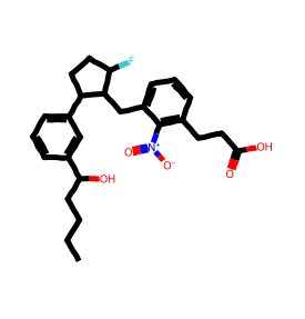 CCCCC(O)c1cccc(C2CCC(F)C2Cc2cccc(CCC(=O)O)c2[N+](=O)[O-])c1